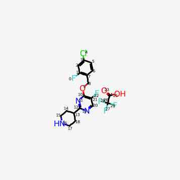 Fc1cc(Cl)ccc1COc1nc(C2CCNCC2)ncc1F.O=C(O)C(F)(F)F